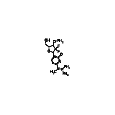 CN(c1ccn(C2OC(CO)C(OP)C2(F)F)c(=O)n1)P(P)P